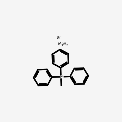 C[P+](c1ccccc1)(c1ccccc1)c1ccccc1.[Br-].[MgH2]